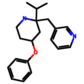 CC(C)C1(Cc2cccnc2)CC(Oc2ccccc2)CC[N]1